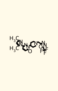 Cc1cc(C)n(-c2ccc(=O)n(C3CCN(Cc4nnc(C(F)(F)F)o4)CC3)n2)n1